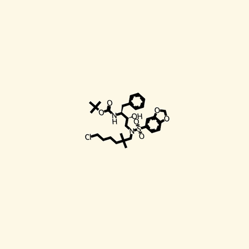 CC(C)(CCCCCl)CN(C[C@@H](O)[C@H](Cc1ccccc1)NC(=O)OC(C)(C)C)S(=O)(=O)c1ccc2c(c1)OCO2